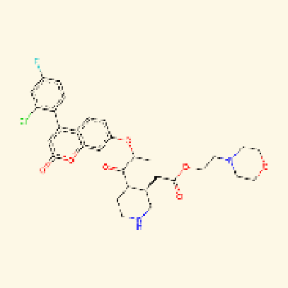 CC(Oc1ccc2c(-c3ccc(F)cc3Cl)cc(=O)oc2c1)C(=O)C1CCNC[C@@H]1CC(=O)OCCN1CCOCC1